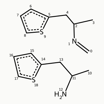 C=NC(C)Cc1cccs1.CC(N)Cc1cccs1